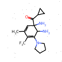 CC1=CC(N)(C(=O)C2CC2)C(N)C(N2CCCC2)=C1C(F)(F)F